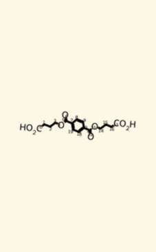 O=C(O)CCCOC(=O)c1ccc(C(=O)OCCCC(=O)O)cc1